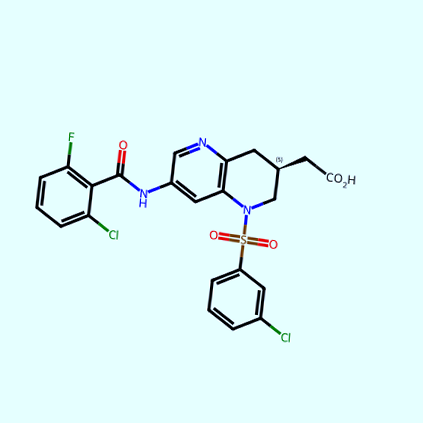 O=C(O)C[C@@H]1Cc2ncc(NC(=O)c3c(F)cccc3Cl)cc2N(S(=O)(=O)c2cccc(Cl)c2)C1